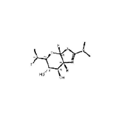 C[C@H](F)[C@H]1O[C@@H]2SC(N(C)C)=N[C@@H]2[C@@H](O)[C@@H]1O